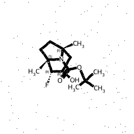 CC(C)(C)OC(=O)N1[C@]2(C)CC[C@@]1(C)[C@@H](F)[C@H](O)C2